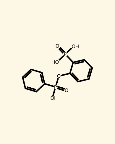 O=P(O)(O)c1ccccc1OP(=O)(O)c1[c]cccc1